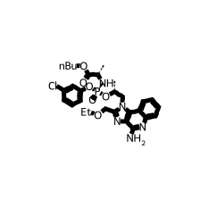 CCCCOC(=O)[C@H](C)N[P@@](=O)(Oc1cccc(Cl)c1)O[C@H](C)Cn1c(COCC)nc2c(N)nc3ccccc3c21